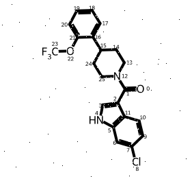 O=C(c1c[nH]c2cc(Cl)ccc12)N1CCC(c2ccccc2OC(F)(F)F)CC1